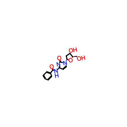 O=C(Nc1ccn([C@H]2C[C@@H](O)[C@@H](CO)O2)c(=O)n1)c1ccccc1